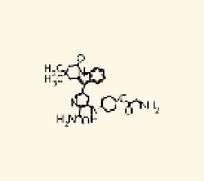 CC1(C)CC(=O)n2c(c(-c3cnc(C(N)=O)c(N[C@H]4CC[C@H](OC(=O)CN)CC4)c3)c3ccccc32)C1